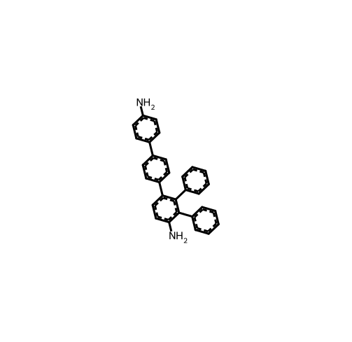 Nc1ccc(-c2ccc(-c3ccc(N)c(-c4ccccc4)c3-c3ccccc3)cc2)cc1